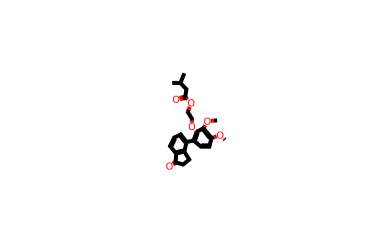 COc1ccc(-c2cccc3c2CCC3=O)c(OCCOC(=O)CC(C)C)c1OC